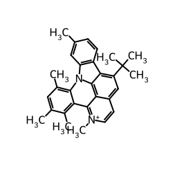 Cc1ccc2c3c(C(C)(C)C)cc4cc[n+](C)c5c6c(C)c(C)cc(C)c6n(c2c1)c3c45